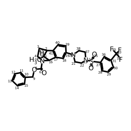 C[C@H]1C2CCN(C(=O)OCc3ccccc3)C1c1cc(N3CCN(S(=O)(=O)c4cccc(C(F)(F)F)c4)CC3)ccc12